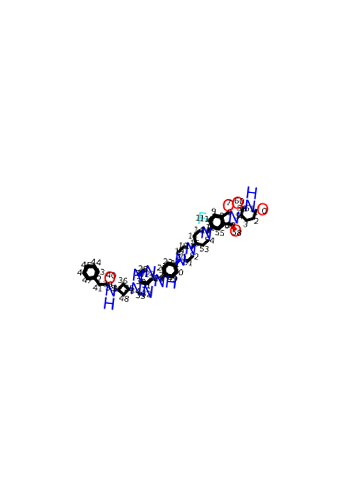 O=C1CC[C@H](N2C(=O)c3cc(F)c(N4CCC(N5CCN(c6ccc(Nc7ncnc8c7ncn8C7CC(NC(=O)Cc8ccccc8)C7)cc6)CC5)CC4)cc3C2=O)C(=O)N1